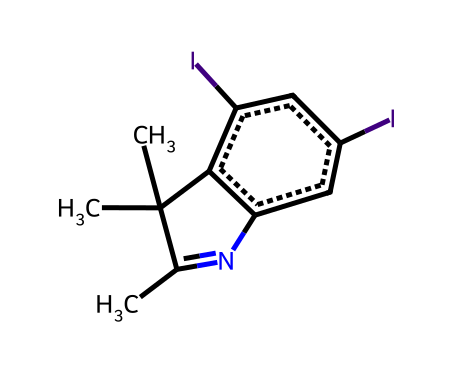 CC1=Nc2cc(I)cc(I)c2C1(C)C